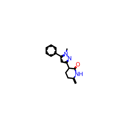 C=C1CCC(c2cc(-c3ccccc3)n(C)n2)C(=O)N1